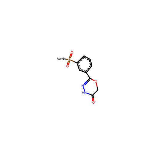 CNS(=O)(=O)c1cccc(C2=NNC(=O)CO2)c1